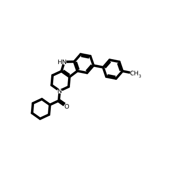 Cc1ccc(-c2ccc3[nH]c4c(c3c2)CN(C(=O)C2CCCCC2)CC4)cc1